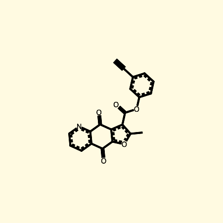 C#Cc1cccc(OC(=O)c2c(C)oc3c2C(=O)c2ncccc2C3=O)c1